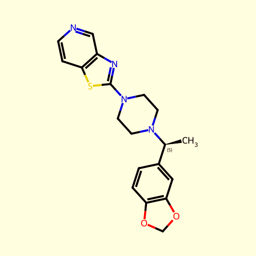 C[C@@H](c1ccc2c(c1)OCO2)N1CCN(c2nc3cnccc3s2)CC1